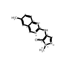 Cc1ccc2nc(Nc3cnn(C)c3Cl)ncc2c1